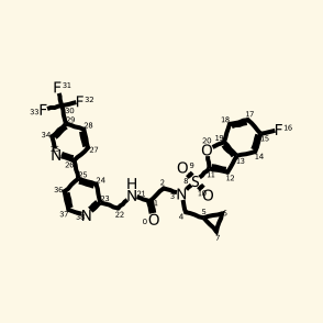 O=C(CN(CC1CC1)S(=O)(=O)c1cc2cc(F)ccc2o1)NCc1cc(-c2ccc(C(F)(F)F)cn2)ccn1